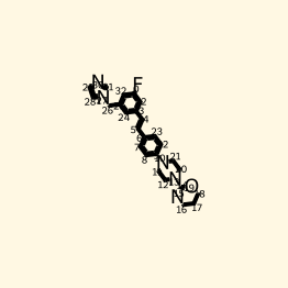 Fc1cc(C=Cc2ccc(N3CCN(C4=NCCCO4)CC3)cc2)cc(Cn2ccnc2)c1